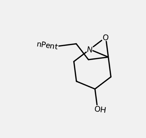 CCCCCCCC12CC(O)CCN1O2